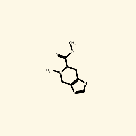 COC(=O)C1Cc2[nH]cnc2CN1C